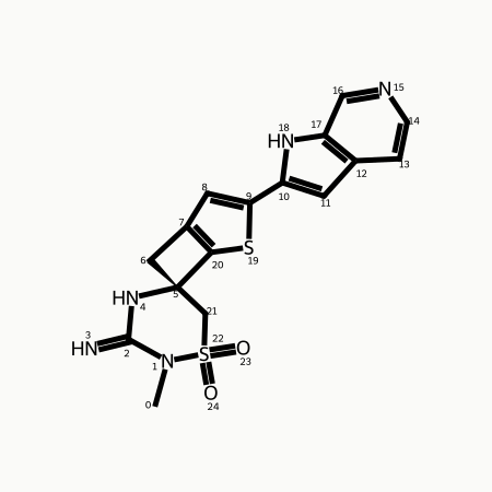 CN1C(=N)N[C@@]2(Cc3cc(-c4cc5ccncc5[nH]4)sc32)CS1(=O)=O